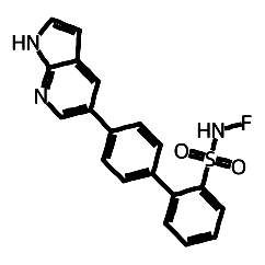 O=S(=O)(NF)c1ccccc1-c1ccc(-c2cnc3[nH]ccc3c2)cc1